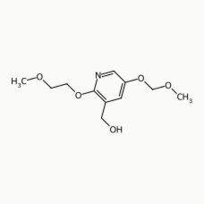 COCCOc1ncc(OCOC)cc1CO